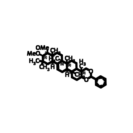 CO[C@@H]1[C@H](OC)C(C)(C)C[C@@H]2C3=CC[C@@H]4[C@@]5(C)CCC6OC(c7ccccc7)OC[C@@]6(C)C5CC[C@@]4(C)[C@]3(C)CC[C@]21C